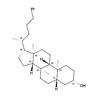 CC(C)CCC[C@@H](C)[C@H]1CC[C@H]2[C@]3(C)CC[C@H]4C[C@@H](O)CC[C@]4(C)[C@H]3CC[C@@]21C